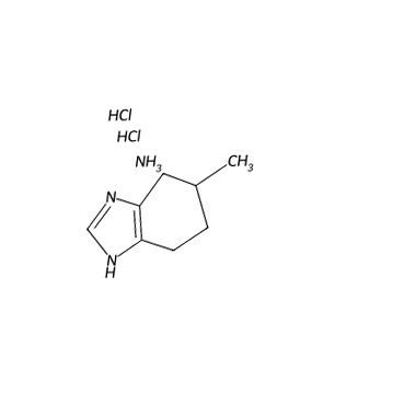 CC1CCc2[nH]cnc2C1.Cl.Cl.N